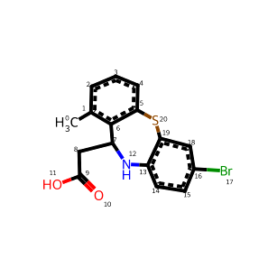 Cc1cccc2c1C(CC(=O)O)Nc1ccc(Br)cc1S2